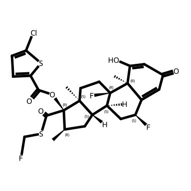 C[C@@H]1C[C@H]2[C@@H]3C[C@H](F)C4=CC(=O)C=C(O)[C@]4(C)[C@@]3(F)CC[C@]2(C)[C@@]1(OC(=O)c1ccc(Cl)s1)C(=O)SCF